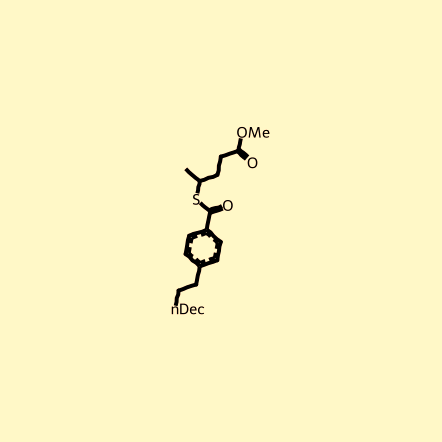 CCCCCCCCCCCCc1ccc(C(=O)SC(C)CCC(=O)OC)cc1